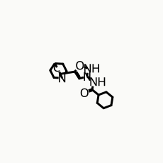 O=C(NN1C=C(C2CC3CCN2CC3)ON1)C1CCCCC1